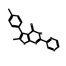 Cc1ccc(-c2c(C)sc3nc(-c4cnccn4)[nH]c(=O)c23)cc1